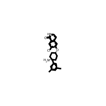 Cc1cc(C)cc([C@]2(N)CC[C@@H](Oc3cc4cc[nH]c(=O)c4cc3Cl)CC2)c1